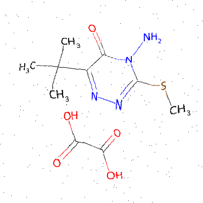 CSc1nnc(C(C)(C)C)c(=O)n1N.O=C(O)C(=O)O